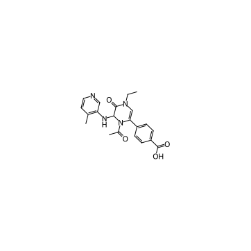 CCN1C=C(c2ccc(C(=O)O)cc2)N(C(C)=O)C(Nc2cnccc2C)C1=O